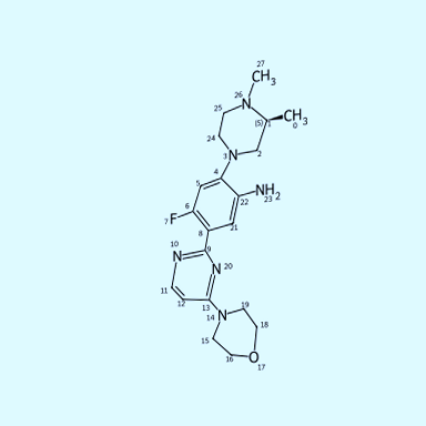 C[C@H]1CN(c2cc(F)c(-c3nccc(N4CCOCC4)n3)cc2N)CCN1C